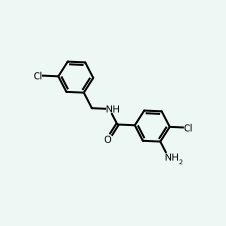 Nc1cc(C(=O)NCc2cccc(Cl)c2)ccc1Cl